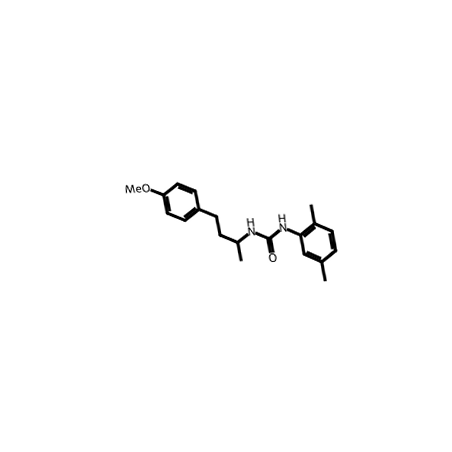 COc1ccc(CCC(C)NC(=O)Nc2cc(C)ccc2C)cc1